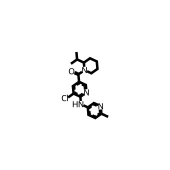 Cc1ccc(Nc2ncc(C(=O)N3CCCCC3C(C)C)cc2Cl)cn1